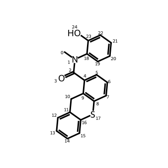 CN(C(=O)c1cccc2c1Cc1ccccc1S2)c1ccccc1O